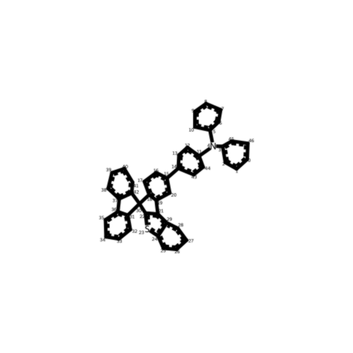 c1ccc(N(c2ccccc2)c2ccc(-c3ccc4c(c3)-c3c(sc5ccccc35)C43c4ccccc4-c4ccccc43)cc2)cc1